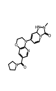 CN1NC2C=C(N3CCOc4cc(C(=O)N5CCCC5)cnc43)C=CN2C1=O